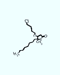 CCCCCCCCC1(C)SC(=O)C=C1OCCCCCl